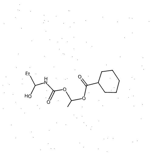 [CH2]CC(O)NC(=O)OC(C)OC(=O)C1CCCCC1